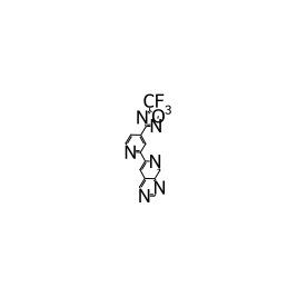 FC(F)(F)c1nc(-c2ccnc(-c3cc4cncnc4cn3)c2)no1